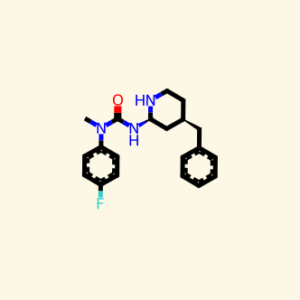 CN(C(=O)N[C@@H]1C[C@H](Cc2ccccc2)CCN1)c1ccc(F)cc1